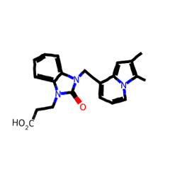 Cc1cc2c(Cn3c(=O)n(CCC(=O)O)c4ccccc43)cccn2c1C